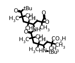 CC(C)(C)NC(CC(C)(C)C(=O)O)C(C)(C)CC(C)(C)C(=O)NC(CC1(C)OC1=O)C(C)(C)CC(C)(C)C(=O)C(C)(C)C